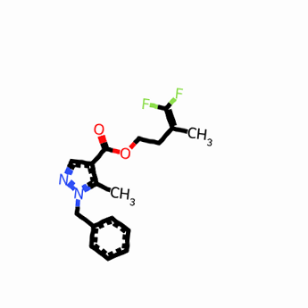 CC(CCOC(=O)c1cnn(Cc2ccccc2)c1C)=C(F)F